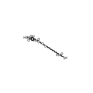 O=C(CCS)NCCCCCCCCCCCOCCOCCOC(=O)NCc1ccc(C(=O)NO)c(O)c1